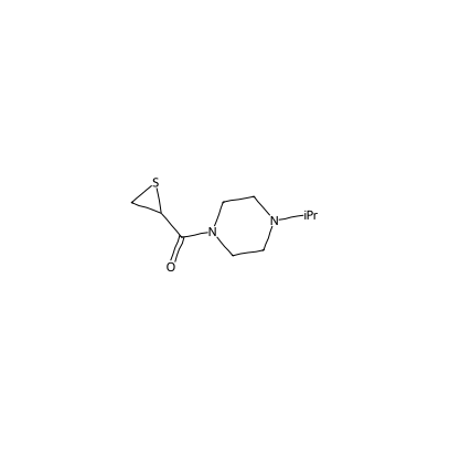 CC(C)N1CCN(C(=O)C2CS2)CC1